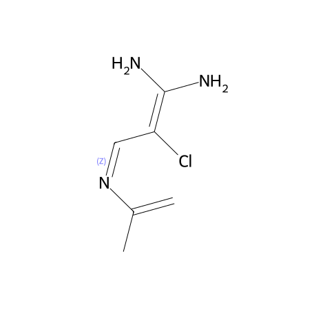 C=C(C)/N=C\C(Cl)=C(N)N